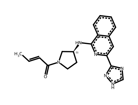 CC=CC(=O)N1CC[C@H](Nc2nc(-c3nc[nH]n3)cc3ccccc23)C1